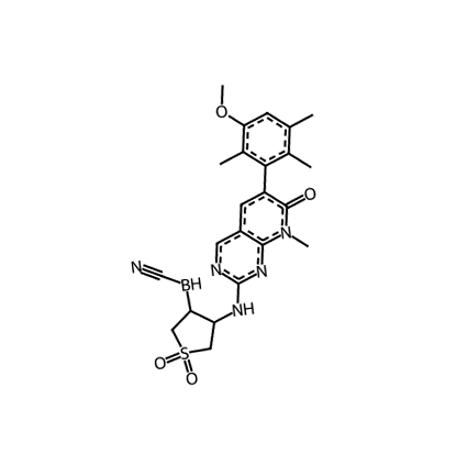 COc1cc(C)c(C)c(-c2cc3cnc(NC4CS(=O)(=O)CC4BC#N)nc3n(C)c2=O)c1C